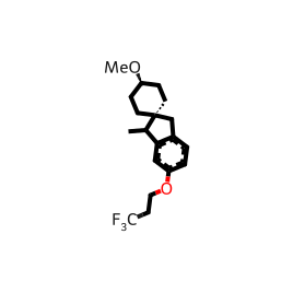 CO[C@H]1CC[C@]2(CC1)Cc1ccc(OCCC(F)(F)F)cc1C2C